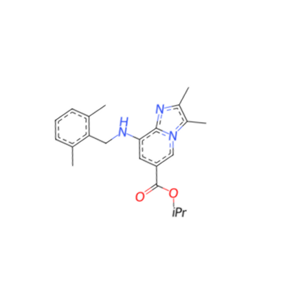 Cc1cccc(C)c1CNc1cc(C(=O)OC(C)C)cn2c(C)c(C)nc12